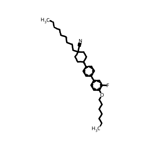 CCCCCCCCCC1(C#N)CCC(c2ccc(-c3ccc(OCCCCCCC)c(F)c3)cc2)CC1